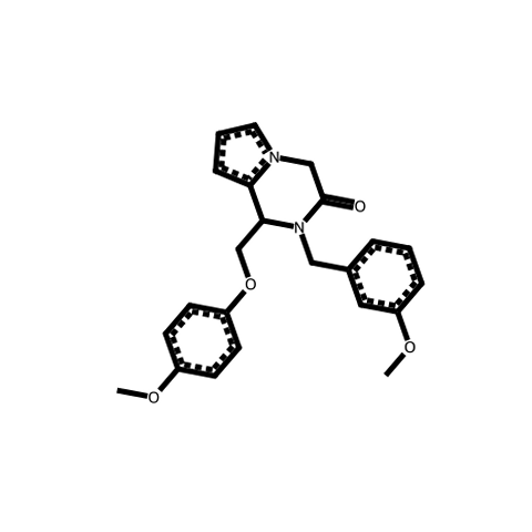 COc1ccc(OCC2c3cccn3CC(=O)N2Cc2cccc(OC)c2)cc1